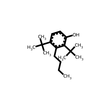 CCCCc1c(C(C)(C)C)ccc(O)c1C(C)(C)C